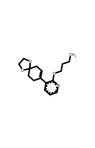 CCCCOc1ncccc1C1=CCC2(CC1)OCCO2